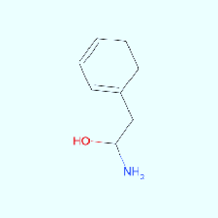 NC(O)CC1=CC=CCC1